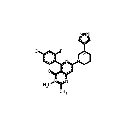 Cc1nc2cc(N3CCC[C@H](c4cn[nH]c4)C3)nc(-c3ccc(Cl)cc3F)c2c(=O)n1C